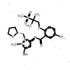 Cn1c(C(C)(C)C)c/c(=N\C(=O)c2cc(C(F)(F)F)ccc2OCC(C)(C)S(C)(=O)=O)n1C[C@H]1CCCO1